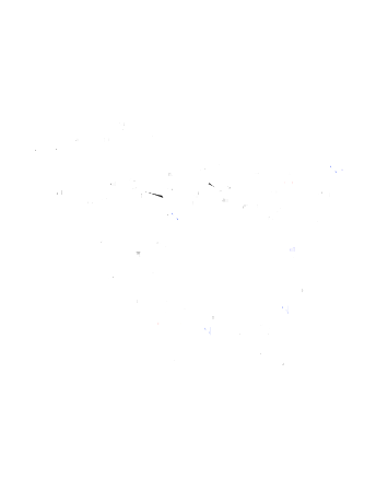 CN(C)C(=O)O[C@@H]1/C=C/CN(C)C2(CCC2)C(=O)NS(=O)(=O)c2ccc3c(c2)N(C[C@@H]2CC[C@H]21)C[C@@]1(CCCc2cc(Cl)ccc21)CO3